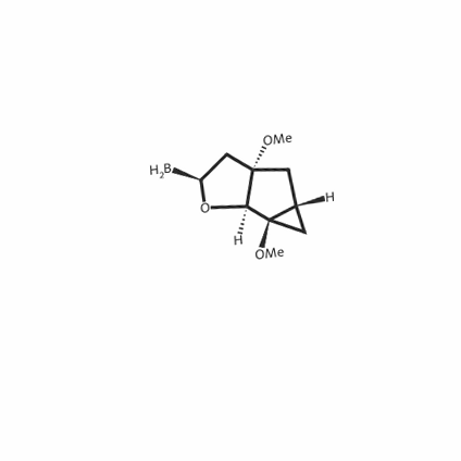 B[C@H]1C[C@@]2(OC)C[C@@H]3C[C@]3(OC)[C@H]2O1